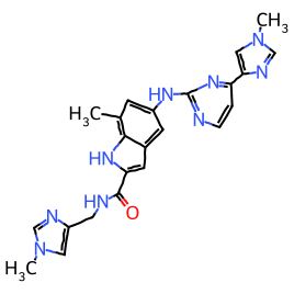 Cc1cc(Nc2nccc(-c3cn(C)cn3)n2)cc2cc(C(=O)NCc3cn(C)cn3)[nH]c12